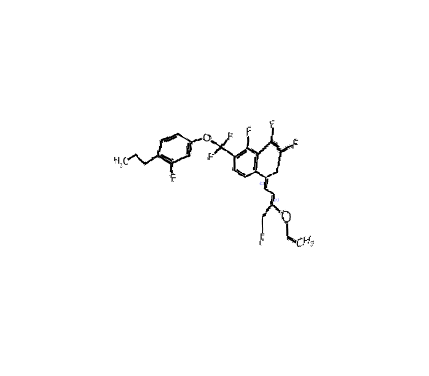 CCCc1ccc(OC(F)(F)c2ccc3c(c2F)C(F)C(F)C/C3=C\C=C(/CF)OCC)cc1F